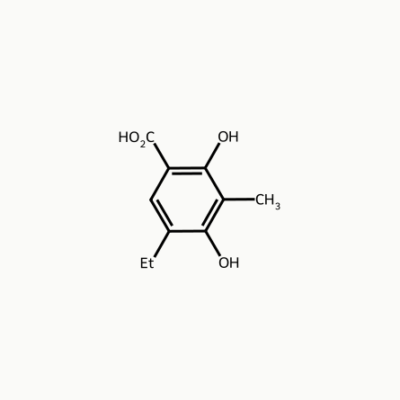 CCc1cc(C(=O)O)c(O)c(C)c1O